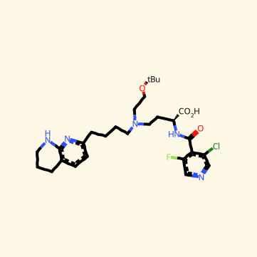 CC(C)(C)OCCN(CCCCc1ccc2c(n1)NCCC2)CC[C@H](NC(=O)c1c(F)cncc1Cl)C(=O)O